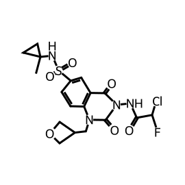 CC1(NS(=O)(=O)c2ccc3c(c2)c(=O)n(NC(=O)C(F)Cl)c(=O)n3CC2COC2)CC1